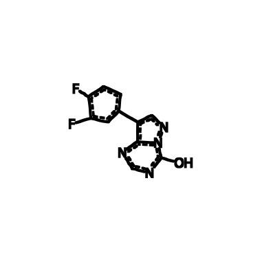 Oc1ncnc2c(-c3ccc(F)c(F)c3)cnn12